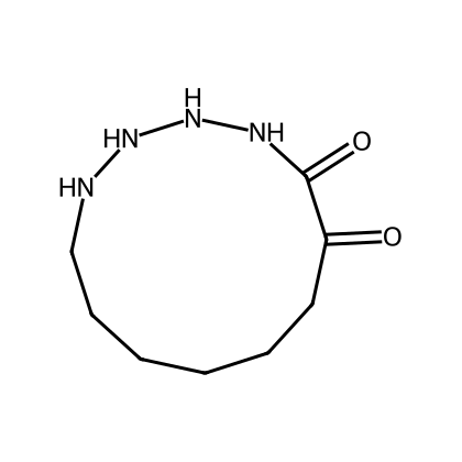 O=C1CCCCCCNNNNC1=O